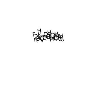 C[C@]12C=CC(=O)N[C@@H]1CC[C@@H]1[C@@H]2CC[C@]2(C)[C@@H](C(=O)NC(CF)(CF)CF)CC[C@@H]12